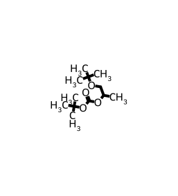 CC(COC(C)(C)C)OC(=O)OC(C)(C)C